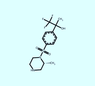 C[C@@H]1CNCCN1S(=O)(=O)c1ccc(C(C)(O)C(F)(F)F)cc1